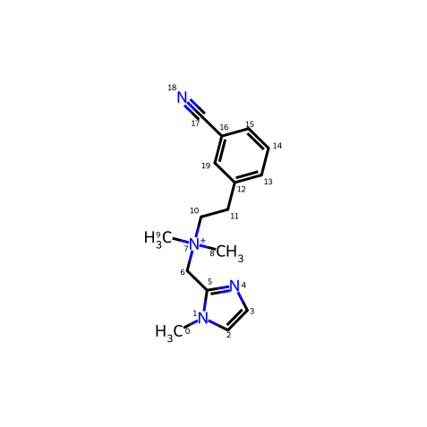 Cn1ccnc1C[N+](C)(C)CCc1cccc(C#N)c1